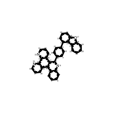 c1ccc2c(c1)nc(-c1ccc(-c3cccc4oc5ccccc5c34)cc1)c1c3cccnc3c3ncccc3c21